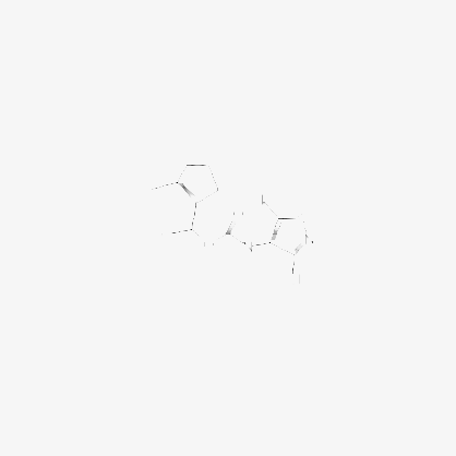 Cc1nsc(I)c1NC(=O)OC(C)C1=C(Cl)CCC1